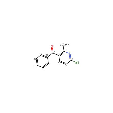 COc1nc(Cl)ccc1C(=O)c1ccccc1